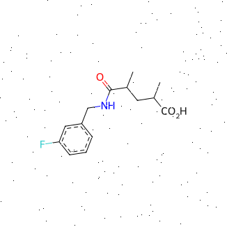 CC(CC(C)C(=O)NCc1cccc(F)c1)C(=O)O